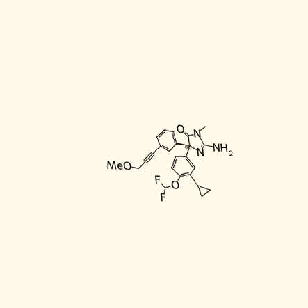 COCC#Cc1cccc([C@]2(c3ccc(OC(F)F)c(C4CC4)c3)N=C(N)N(C)C2=O)c1